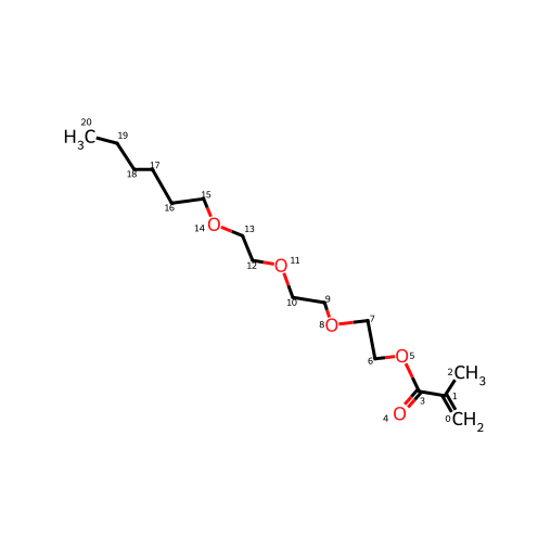 C=C(C)C(=O)OCCOCCOCCOCCCCCC